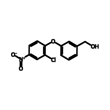 O=[N+]([O-])c1ccc(Oc2cccc(CO)c2)c(Cl)c1